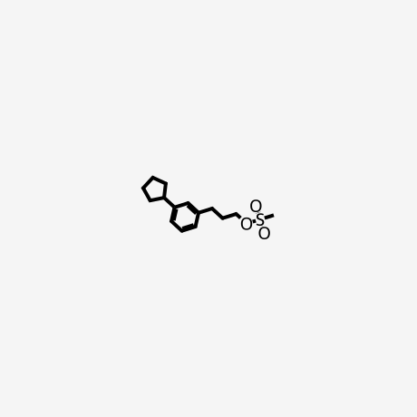 CS(=O)(=O)OCCCc1cccc(C2CCCC2)c1